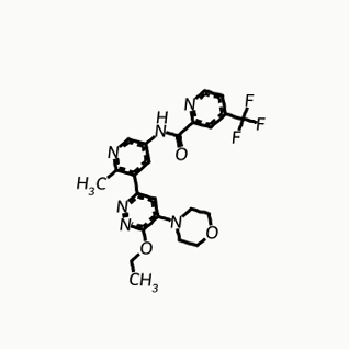 CCOc1nnc(-c2cc(NC(=O)c3cc(C(F)(F)F)ccn3)cnc2C)cc1N1CCOCC1